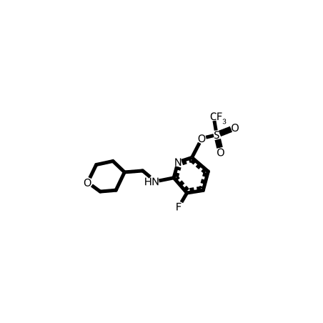 O=S(=O)(Oc1ccc(F)c(NCC2CCOCC2)n1)C(F)(F)F